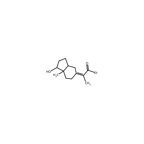 CCC(=O)/C(C)=C1/CCC2(C)C(O)CCC2C1